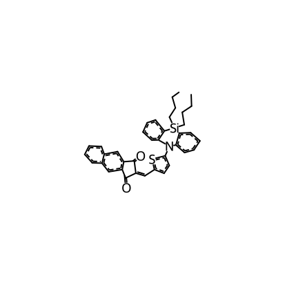 CCCC[Si]1(CCCC)c2ccccc2N(c2ccc(C=C3C(=O)c4cc5ccccc5cc4C3=O)s2)c2ccccc21